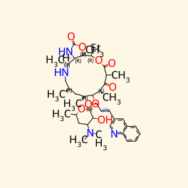 CC[C@H]1OC(=O)C(C)C(=O)[C@@H](C)C(O[C@@H]2OC(C)CC(N(C)C)C2O)[C@](C)(OC/C=C/c2cnc3ccccc3c2)C[C@@H](C)CN[C@H](C)[C@H]2NC(=O)O[C@@]21C